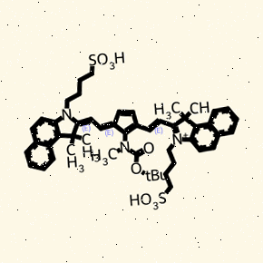 CN(C(=O)OC(C)(C)C)C1=C(/C=C/C2=[N+](CCCCS(=O)(=O)O)c3ccc4ccccc4c3C2(C)C)C=C/C1=C\C=C1\N(CCCCS(=O)(=O)O)c2ccc3ccccc3c2C1(C)C